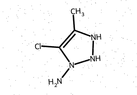 CC1=C(Cl)N(N)NN1